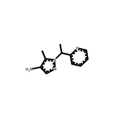 Cc1c(N)cnn1C(C)c1ccccn1